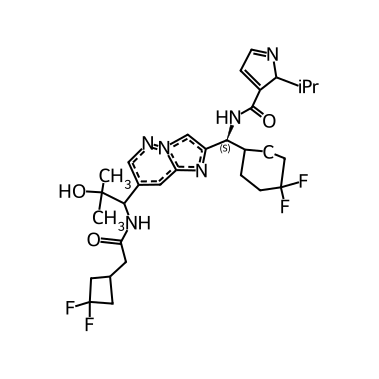 CC(C)C1N=CC=C1C(=O)N[C@H](c1cn2ncc(C(NC(=O)CC3CC(F)(F)C3)C(C)(C)O)cc2n1)C1CCC(F)(F)CC1